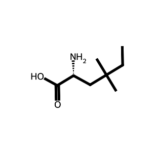 CCC(C)(C)C[C@@H](N)C(=O)O